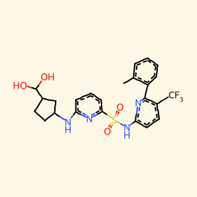 Cc1ccccc1-c1nc(NS(=O)(=O)c2cccc(NC3CCC(C(O)O)C3)n2)ccc1C(F)(F)F